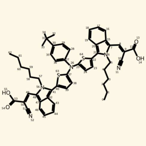 CCCCCCn1c(/C=C(\C#N)C(=O)O)c2ccccc2c1-c1ccc(N(c2ccc(C(C)(C)C)cc2)c2ccc(-c3c4ccccc4c(/C=C(\C#N)C(=O)O)n3CCCCCC)s2)s1